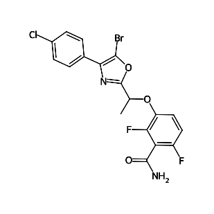 CC(Oc1ccc(F)c(C(N)=O)c1F)c1nc(-c2ccc(Cl)cc2)c(Br)o1